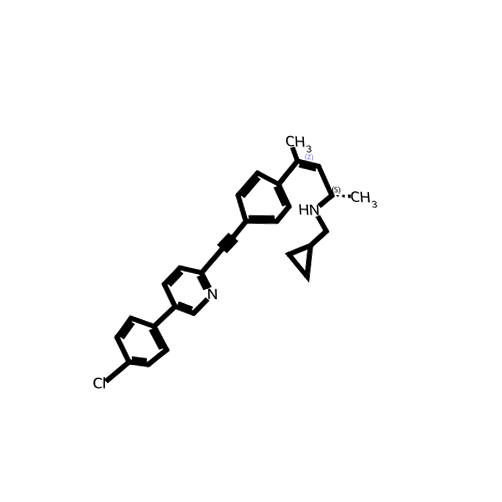 C/C(=C/[C@H](C)NCC1CC1)c1ccc(C#Cc2ccc(-c3ccc(Cl)cc3)cn2)cc1